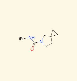 CC(C)NC(=O)N1CCC2(CC2)C1